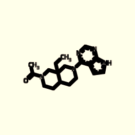 CCC12CN(C(C)=O)CCC1CCN(c1ncnc3[nH]ccc13)C2